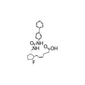 O=C(O)CC/C=C\C[C@@H]1[C@@H](CNC(=O)Nc2ccc(-c3ccccc3)cc2)CC[C@H]1F